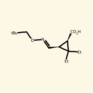 CCC1(CC)[C@H](C(=O)O)[C@@H]1C=NOCC(C)(C)C